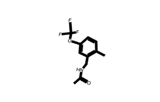 CC(=O)NCc1cc(OC(F)(F)F)ccc1C